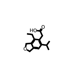 CCc1c2c(cc(C(C)C)c1CC(=O)O)COC2